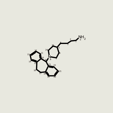 NCCCCC1CCN(C2c3ccccc3CCc3ccccc32)CC1